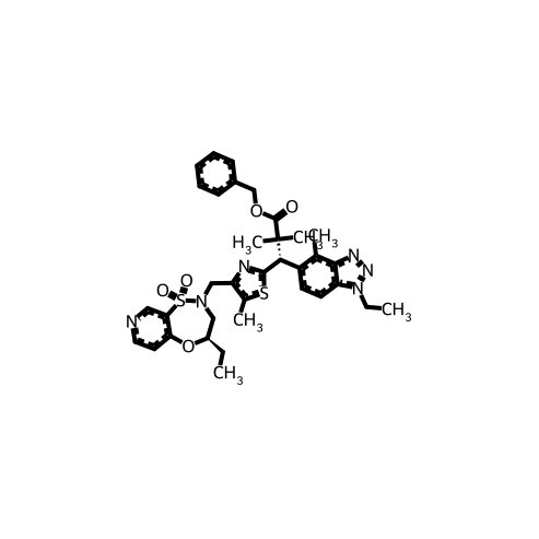 CC[C@@H]1CN(Cc2nc([C@@H](c3ccc4c(nnn4CC)c3C)C(C)(C)C(=O)OCc3ccccc3)sc2C)S(=O)(=O)c2cnccc2O1